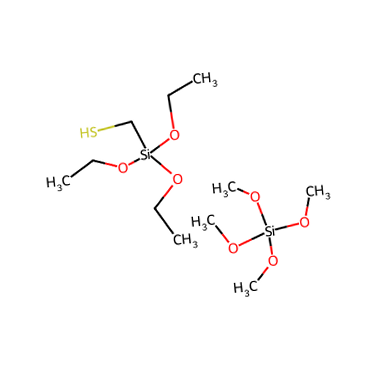 CCO[Si](CS)(OCC)OCC.CO[Si](OC)(OC)OC